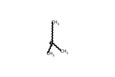 CCCCCCCCCCCCCCCN1C=CN(CCCCCCC)C1CCCCCCCCC